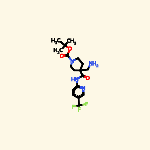 CC(C)(C)OC(=O)N1CCC(CN)(C(=O)Nc2ccc(C(F)(F)F)cn2)CC1